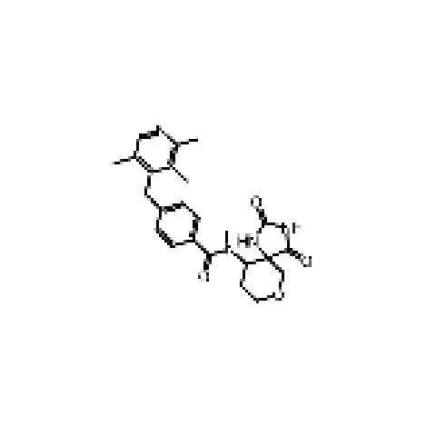 Cc1cnc(C)c(C)c1Cc1ccc(C(=O)NC2CCOCC23NC(=O)NC3=O)cc1